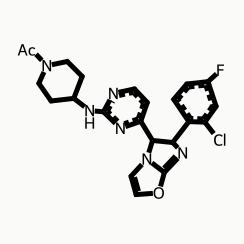 CC(=O)N1CCC(Nc2nccc(C3C(c4ccc(F)cc4Cl)N=C4OC=CN43)n2)CC1